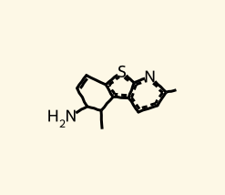 Cc1ccc2c3c(sc2n1)C=CC(N)C3C